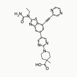 CCN(C(N)=O)c1nc2cc(-c3cnc(N4CCC(C)(C(=O)O)CC4)nc3)cc(C#Cc3cnccn3)c2s1